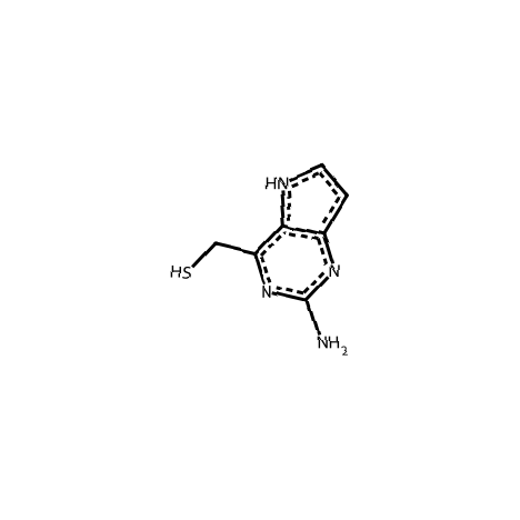 Nc1nc(CS)c2[nH]ccc2n1